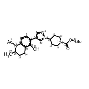 CC(=O)N1c2ccc(-c3cnn(C4CCN(C(=O)OC(C)(C)C)CC4)c3)c(O)c2CCC1C